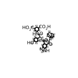 O=C(O)c1cc(NC(=O)C(CNC(=O)c2cc3nc[nH]c3cc2C(=O)NCC23CC4CC(CC(C4)C2)C3)c2ccc(O)cc2)cc(C(=O)O)c1